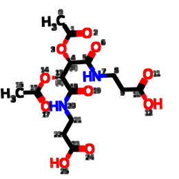 CC(=O)O[C@@H](C(=O)NCCC(=O)O)[C@@H](OC(C)=O)C(=O)NCCC(=O)O